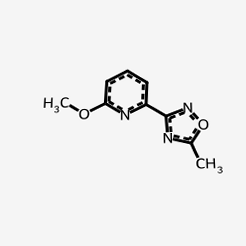 COc1cccc(-c2noc(C)n2)n1